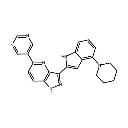 c1cc(N2CCCCC2)c2cc(-c3n[nH]c4ccc(-c5cncnc5)nc34)[nH]c2c1